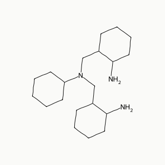 NC1CCCCC1CN(CC1CCCCC1N)C1CCCCC1